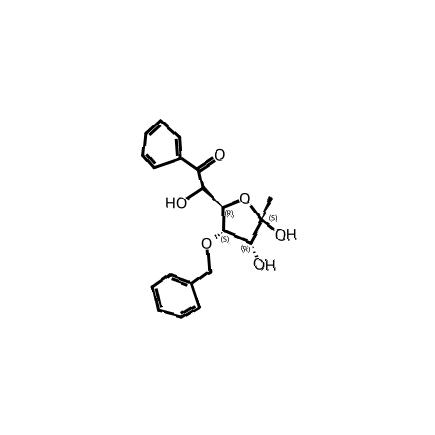 C[C@]1(O)O[C@H](C(O)C(=O)c2ccccc2)[C@@H](OCc2ccccc2)[C@H]1O